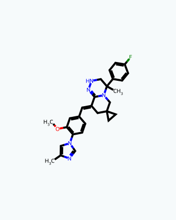 COc1cc(/C=C2\CC3(CC3)CN3C2=NNCC3(C)c2ccc(F)cc2)ccc1-n1cnc(C)c1